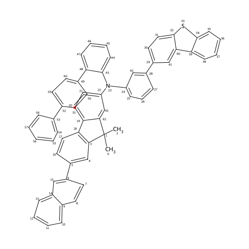 CC1(C)c2cc(-c3ccc4ccccc4c3)ccc2-c2ccc(N(c3cccc(-c4ccc5sc6ccccc6c5c4)c3)c3ccccc3-c3ccc(-c4ccccc4)cc3)cc21